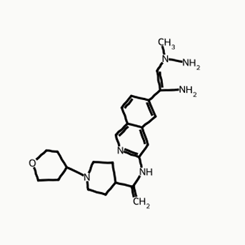 C=C(Nc1cc2cc(/C(N)=C/N(C)N)ccc2cn1)C1CCN(C2CCOCC2)CC1